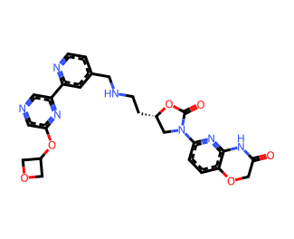 O=C1COc2ccc(N3C[C@H](CCNCc4ccnc(-c5cncc(OC6COC6)n5)c4)OC3=O)nc2N1